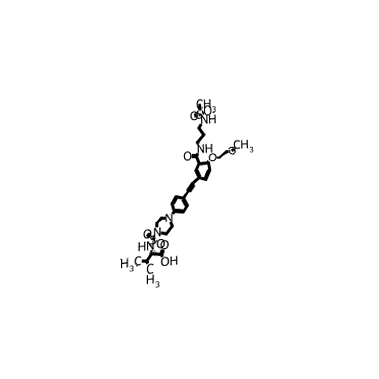 COCCOc1ccc(C#Cc2ccc(N3CCN(S(=O)(=O)N[C@@H](C(=O)O)C(C)C)CC3)cc2)cc1C(=O)NCCCNS(C)(=O)=O